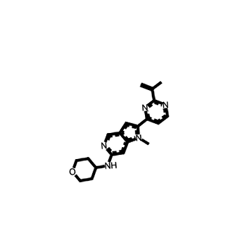 C=C(C)c1nccc(-c2cc3cnc(NC4CCOCC4)cc3n2C)n1